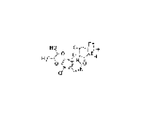 CC(Oc1cc(OC2(N3C=CC=NC3)C(=O)CC(F)(C(F)(F)F)C(C)C2=O)ccc1Cl)C(=O)O